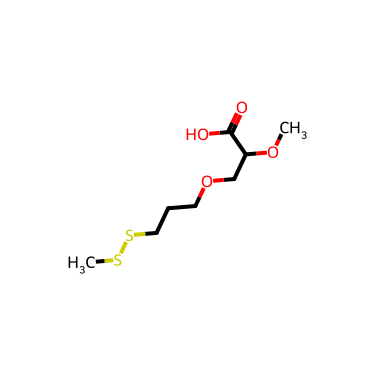 COC(COCCCSSC)C(=O)O